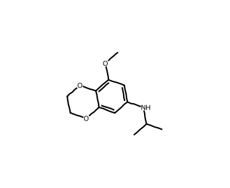 COc1cc(NC(C)C)cc2c1OCCO2